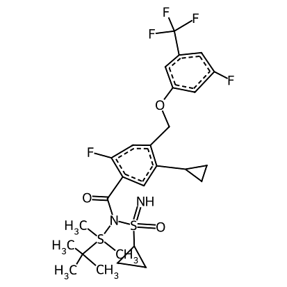 CC(C)(C)S(C)(C)N(C(=O)c1cc(C2CC2)c(COc2cc(F)cc(C(F)(F)F)c2)cc1F)S(=N)(=O)C1CC1